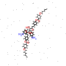 C=CCCCOC1CCC(C(=O)Oc2ccc(/C=C/C(=O)C(O)C(Cc3ccc(N)cc3)(Cc3ccc(N)cc3)C(O)C(=O)/C=C/c3ccc(OC(=O)C4CCC(OCCCC=C)CC4)cc3)cc2)CC1